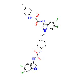 CC[C@H]1CC[C@@H](NC(=O)C(=O)Nc2cn(CC[C@H]3CC[C@H](NC(=O)C(=O)Nc4c[nH]c5cc(F)c(F)cc45)CC3)c3cc(F)c(F)cc23)CC1